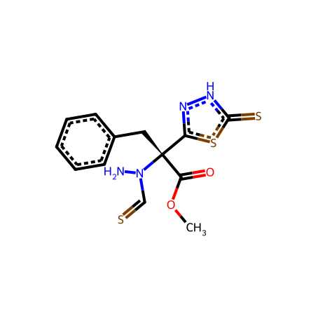 COC(=O)[C@@](Cc1ccccc1)(c1n[nH]c(=S)s1)N(N)C=S